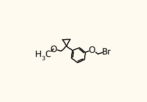 COCC1(c2cccc(OCBr)c2)CC1